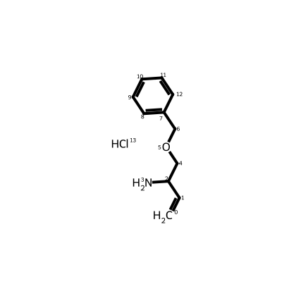 C=CC(N)COCc1ccccc1.Cl